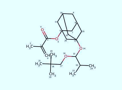 C=C(C)C(=O)OC12CC3CC(C1)CC(OC(OCC(C)(C)C)C(C)C)(C3)C2